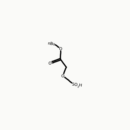 CCCCOC(=O)COS(=O)(=O)O